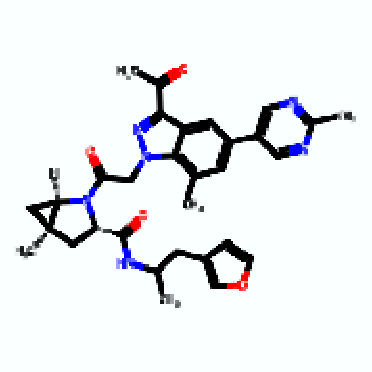 CC(=O)c1nn(CC(=O)N2[C@H](C(=O)NC(C)Cc3ccoc3)C[C@@]3(C)C[C@@H]23)c2c(C)cc(-c3cnc(C)nc3)cc12